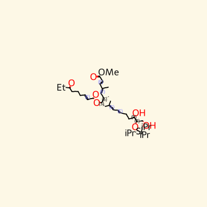 CCC(=O)CCC/C=C/C(=O)O[C@@H](C/C(C)=C/C=C/CC[C@@H](O)[C@@H](CO)O[Si](C(C)C)(C(C)C)C(C)C)[C@@H](C)/C=C(C)/C=C/C(=O)OC